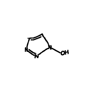 On1c[c]nn1